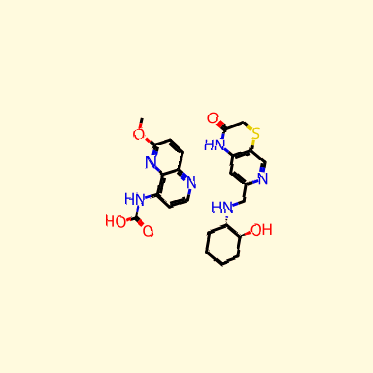 COc1ccc2nccc(NC(=O)O)c2n1.O=C1CSc2cnc(CN[C@H]3CCCC[C@@H]3O)cc2N1